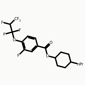 CCCC1CCC(OC(=O)c2ccc(OC(F)(F)C(F)C(F)(F)F)c(F)c2)CC1